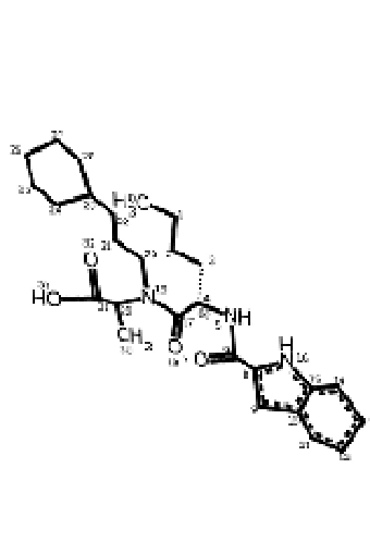 CCCC[C@H](NC(=O)c1cc2ccccc2[nH]1)C(=O)N(CCCC1CCCCC1)C(C)C(=O)O